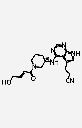 N#CCCc1c[nH]c2ncnc(N[C@@H]3CCCN(C(=O)C=CCO)C3)c12